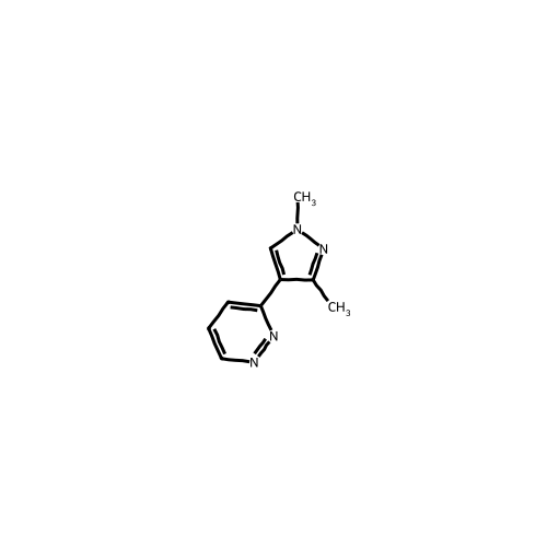 Cc1nn(C)cc1-c1cccnn1